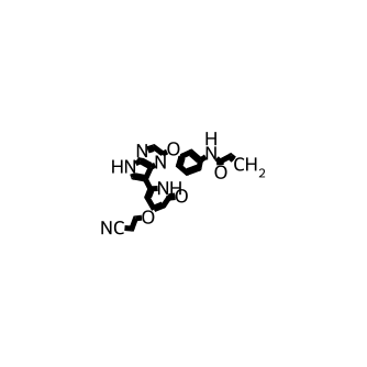 C=CC(=O)Nc1cccc(Oc2cnc3[nH]cc(-c4cc(OCCC#N)cc(=O)[nH]4)c3n2)c1